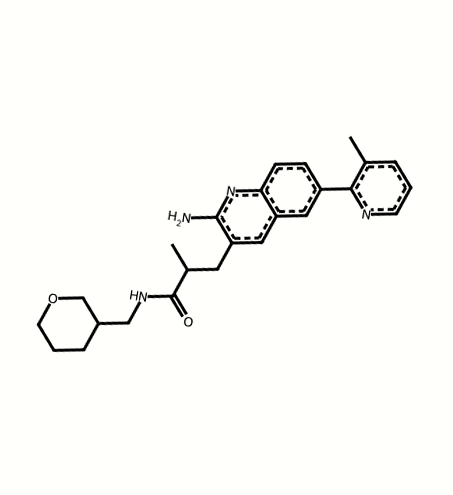 Cc1cccnc1-c1ccc2nc(N)c(CC(C)C(=O)NCC3CCCOC3)cc2c1